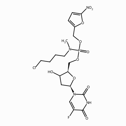 CN(CCCCCl)P(=O)(OCc1ccc([N+](=O)[O-])o1)OC[C@H]1O[C@@H](n2cc(F)c(=O)[nH]c2=O)CC1O